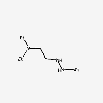 CCN(CC)CCNNC(C)C